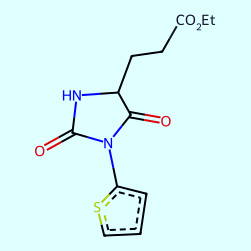 CCOC(=O)CCC1NC(=O)N(c2cccs2)C1=O